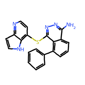 Nc1nnc(Sc2ccnc3cc[nH]c23)c2c(-c3ccccc3)cccc12